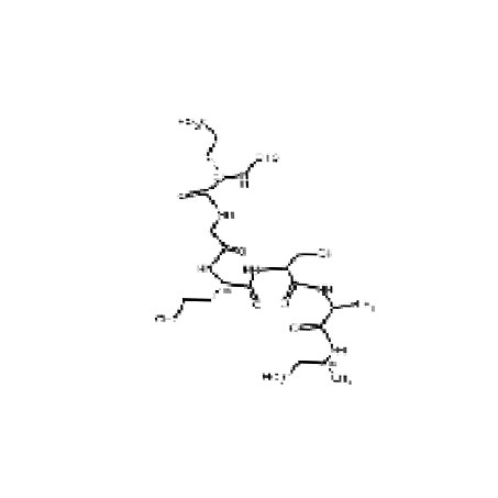 CC(NC(=O)C(CO)NC(=O)[C@H](CCC=O)NC(=O)CNC(=O)[C@H](CCC(=O)O)NC=O)C(=O)N[C@H](C)CC(=O)O